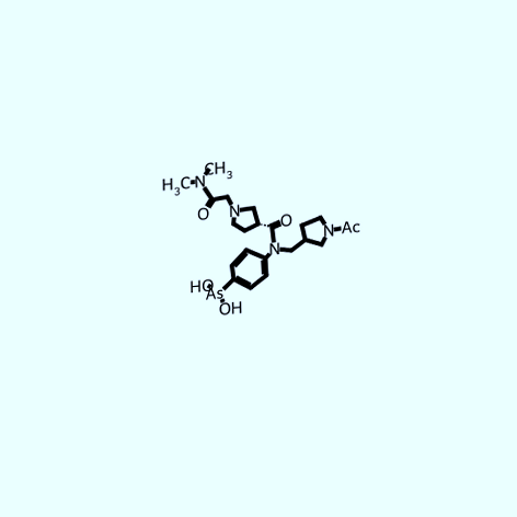 CC(=O)N1CCC(CN(C(=O)[C@@H]2CCN(CC(=O)N(C)C)C2)c2ccc([As](O)O)cc2)C1